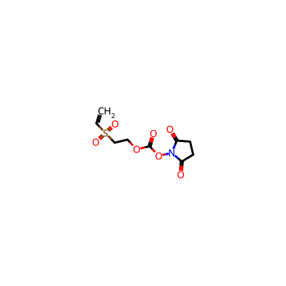 C=CS(=O)(=O)CCOC(=O)ON1C(=O)CCC1=O